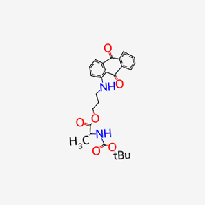 C[C@@H](NC(=O)OC(C)(C)C)C(=O)OCCCNc1cccc2c1C(=O)c1ccccc1C2=O